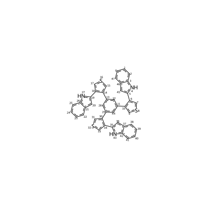 c1ccc2[nH]c(-c3cscc3-c3cc(-c4cscc4-c4cc5ccccc5[nH]4)cc(-c4cscc4-c4cc5ccccc5[nH]4)c3)cc2c1